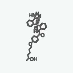 CC(O)CCCCOc1ccc(C(=O)Nc2ccccc2S(=O)(=O)c2ccccc2-c2nnn[nH]2)cc1